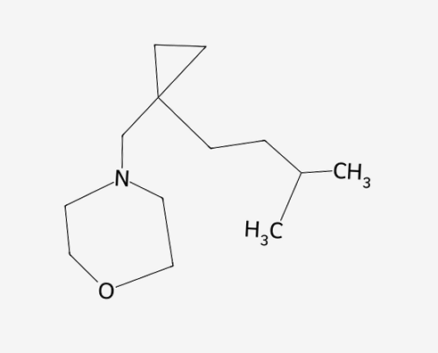 CC(C)CCC1(CN2CCOCC2)CC1